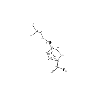 CC(C)CCNC12CCC(C(F)F)(CC1)CC2